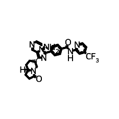 N[N+]12C=CN=CC1=C([C@H]1CC[C@H]3CCC(=O)N3C1)N=C2c1ccc(C(=O)Nc2cc(C(F)(F)F)ccn2)cc1